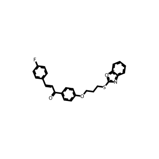 O=C(C=Cc1ccc(F)cc1)c1ccc(OCCCSc2nc3ccccc3o2)cc1